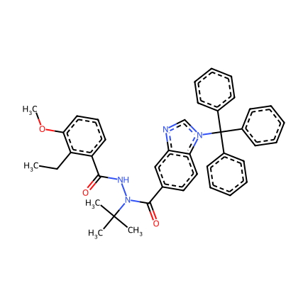 CCc1c(OC)cccc1C(=O)NN(C(=O)c1ccc2c(c1)ncn2C(c1ccccc1)(c1ccccc1)c1ccccc1)C(C)(C)C